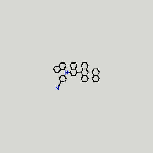 N#Cc1ccc(N(c2cccc3ccccc23)c2ccc(-c3c4ccccc4c(-c4cccc5ccccc45)c4ccccc34)c3ccccc23)cc1